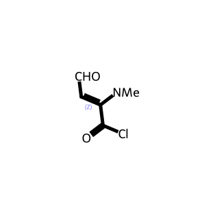 CN/C(=C\C=O)C(=O)Cl